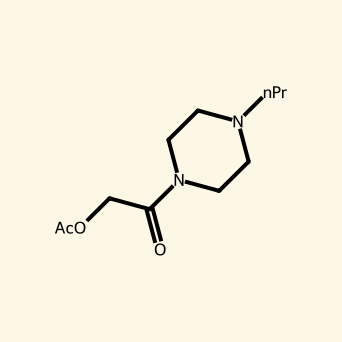 CCCN1CCN(C(=O)COC(C)=O)CC1